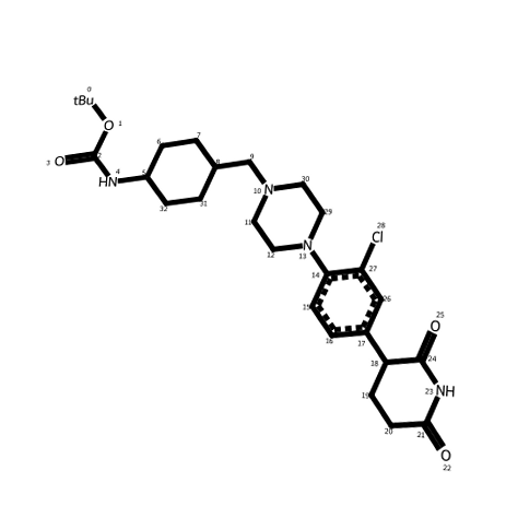 CC(C)(C)OC(=O)NC1CCC(CN2CCN(c3ccc(C4CCC(=O)NC4=O)cc3Cl)CC2)CC1